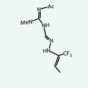 C/C=C(/N/N=C/N/C(=N\C(C)=O)NC)C(F)(F)F